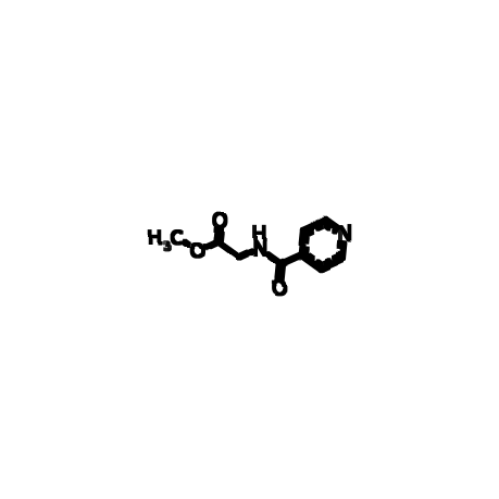 COC(=O)CNC(=O)c1ccncc1